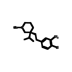 CN(C)[C@@]1(CCc2ccc(Cl)c(C(F)(F)F)c2)CCCN(C(C)(C)C)C1